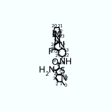 Cc1ccc2c(N)c(C(=O)N[C@H]3CCc4nc(N5CC6CCC(C5)N6)cc(F)c4C3)sc2n1